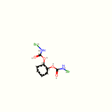 O=C(NBr)Oc1ccccc1OC(=O)NBr